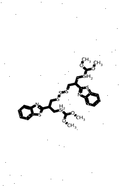 COC(OC)[SiH2]CC(CSSSCC(C[SiH2]C(OC)OC)c1nc2ccccc2s1)c1nc2ccccc2s1